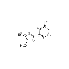 Cc1sc(-c2cncc(F)c2)cc1Br